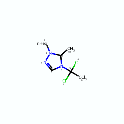 CCCCCCN1N=CN(C(Cl)(Cl)C(Cl)(Cl)Cl)C1C